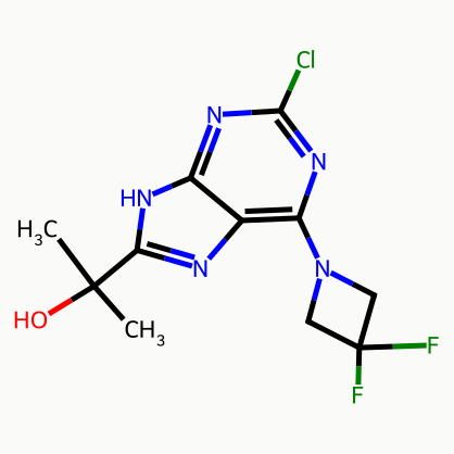 CC(C)(O)c1nc2c(N3CC(F)(F)C3)nc(Cl)nc2[nH]1